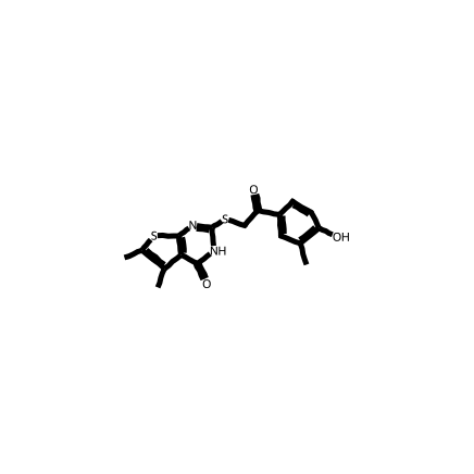 Cc1cc(C(=O)CSc2nc3sc(C)c(C)c3c(=O)[nH]2)ccc1O